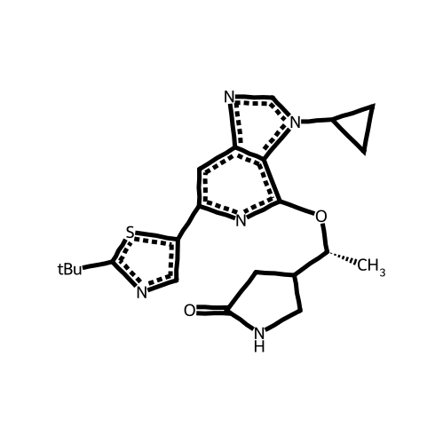 C[C@@H](Oc1nc(-c2cnc(C(C)(C)C)s2)cc2ncn(C3CC3)c12)C1CNC(=O)C1